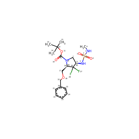 CNS(=O)(=O)N[C@@H]1CN(C(=O)OC(C)(C)C)[C@H](COCc2ccccc2)C1(F)F